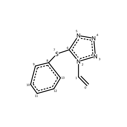 C=Cn1nnnc1Sc1ccccc1